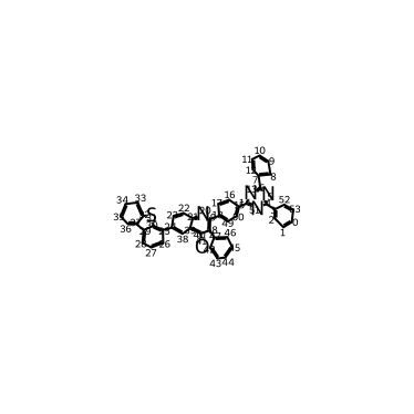 c1ccc(-c2nc(-c3ccccc3)nc(-c3ccc(-c4nc5ccc(-c6cccc7c6sc6ccccc67)cc5c5oc6ccccc6c45)cc3)n2)cc1